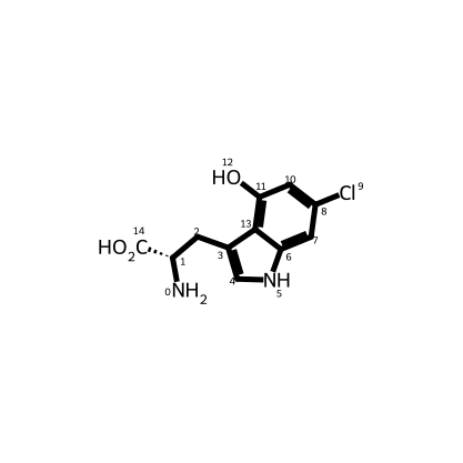 N[C@@H](Cc1c[nH]c2cc(Cl)cc(O)c12)C(=O)O